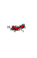 CO[C@H](CN(C(C)C)[C@H]1C[C@@H](CCc2nc3cc(Cl)c(C(F)(F)F)cc3[nH]2)C1)[C@@H](O)[C@@H](O)n1cnc2c(N)ncnc21